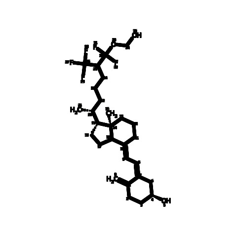 C=C1CC[C@H](O)C/C1=C/C=C1CCC[C@@]2(C)C1CC[C@@H]2[C@H](C)CCCC(C(F)(F)F)C(F)(F)OCO